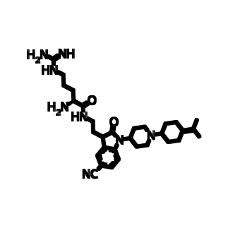 CC(C)=C1CCC(N2CCC(N3C(=O)C(CCNC(=O)[C@@H](N)CCCNC(=N)N)c4cc(C#N)ccc43)CC2)CC1